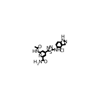 CC(=O)Nc1cc(-c2nnc(Nc3ccc4[nH]ncc4c3Cl)s2)cc(C(N)=O)n1